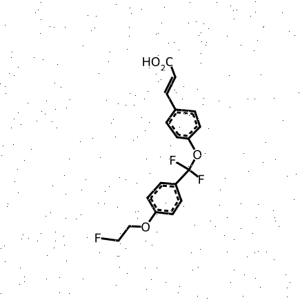 O=C(O)/C=C/c1ccc(OC(F)(F)c2ccc(OCCF)cc2)cc1